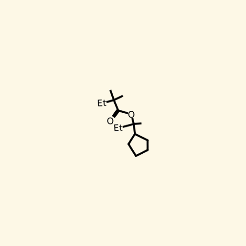 CCC(C)(C)C(=O)OC(C)(CC)C1CCCC1